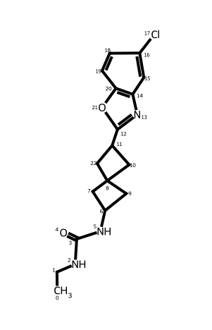 CCNC(=O)NC1CC2(C1)CC(c1nc3cc(Cl)ccc3o1)C2